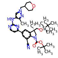 Cc1nn(CC2CCOCC2)cc1Nc1nccc(-c2cc(C#N)c3c(c2)[C@@](C)(CO[Si](C)(C)C(C)(C)C)CN3C(=O)OC(C)(C)C)n1